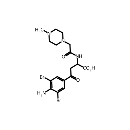 CN1CCN(CC(=O)NC(CC(=O)c2cc(Br)c(N)c(Br)c2)C(=O)O)CC1